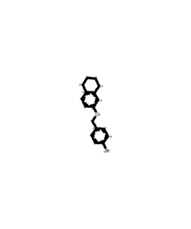 Brc1ccc(COc2[c]cc3c(c2)CCCC3)cc1